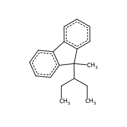 CCC(CC)C1(C)c2ccccc2-c2ccccc21